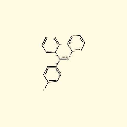 Fc1ccc(-c2nc3ccccc3c3ccccc23)cc1